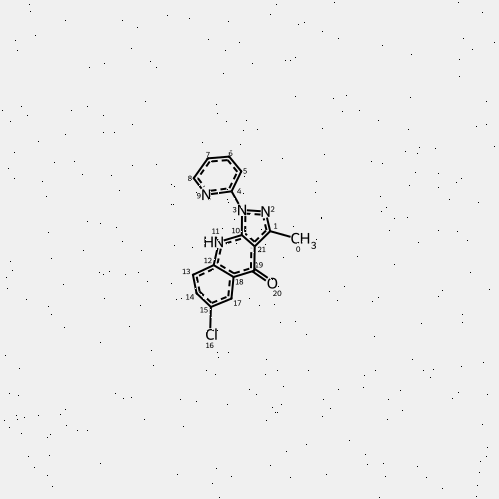 Cc1nn(-c2ccccn2)c2[nH]c3ccc(Cl)cc3c(=O)c12